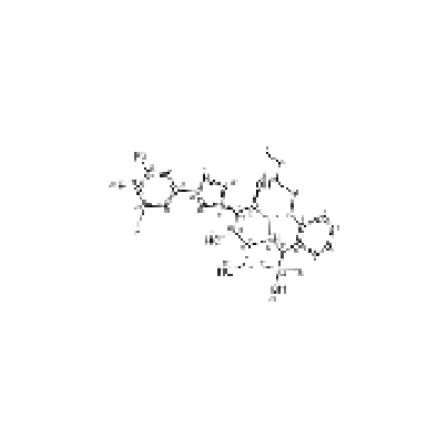 CCCCCc1ccccc1C([SH]1C[C@H](O)[C@H](n2cc(-c3cc(F)c(F)c(F)c3)nn2)[C@@H](O)[C@H]1CO)C(C)(C)O